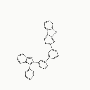 c1ccc(-c2c(-c3cccc(-c4cccc(-c5ccc6c(c5)sc5ccccc56)c4)c3)nc3ccccn23)cc1